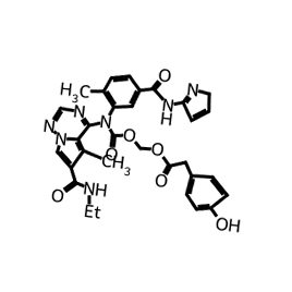 CCNC(=O)c1cn2ncnc(N(C(=O)OCOC(=O)Cc3ccc(O)cc3)c3cc(C(=O)NC4=NCC=C4)ccc3C)c2c1C